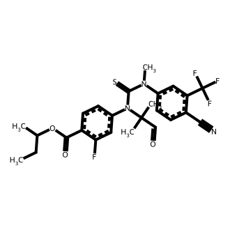 CCC(C)OC(=O)c1ccc(N(C(=S)N(C)c2ccc(C#N)c(C(F)(F)F)c2)C(C)(C)C=O)cc1F